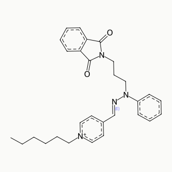 CCCCCC[n+]1ccc(/C=N/N(CCCN2C(=O)c3ccccc3C2=O)c2ccccc2)cc1